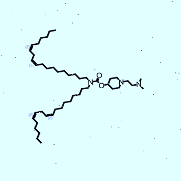 CCCCC/C=C\C/C=C\CCCCCCCCCN(CCCCCCCC/C=C\C/C=C\CCCCC)C(=O)OC1CCN(CCN(C)C)CC1